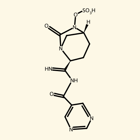 N=C(NC(=O)c1cncnc1)[C@@H]1CC[C@@H]2CN1C(=O)N2OS(=O)(=O)O